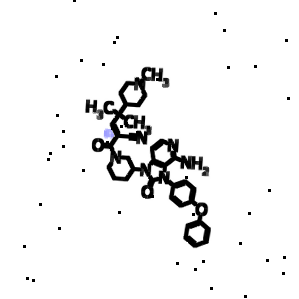 CN1CCC(C(C)(C)/C=C(\C#N)C(=O)N2CCCC(n3c(=O)n(-c4ccc(Oc5ccccc5)cc4)c4c(N)nccc43)C2)CC1